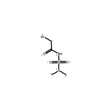 CC(C)CC(=O)NS(=O)(=O)N(C)C